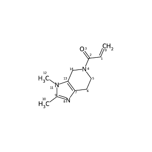 C=CC(=O)N1CCc2nc(C)n(C)c2C1